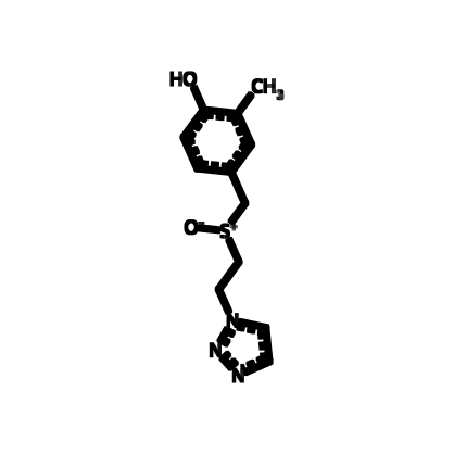 Cc1cc(C[S+]([O-])CCn2ccnn2)ccc1O